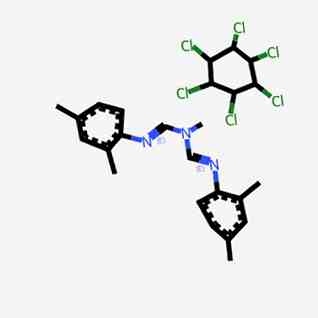 Cc1ccc(/N=C/N(C)/C=N/c2ccc(C)cc2C)c(C)c1.ClC1C(Cl)C(Cl)C(Cl)C(Cl)C1Cl